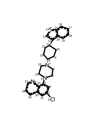 Clc1cc(N2CCN([C@H]3CC[C@H](c4csc5ccccc54)CC3)CC2)c2ncccc2c1